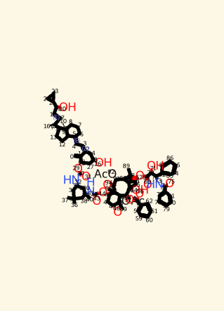 C=C1/C(=C\C=C2/CCC[C@@]3(C)C2CCC3[C@@H](C)/C=C/C(O)C2CC2)C[C@@H](O)C[C@@H]1OC(=O)NC1CC(C)(C)CC(C)(NC(=O)OC2CC3OCC3(OC(C)=O)C3C(OC(=O)c4ccccc4)C4(O)CC(OC(=O)C(O)C(NC(=O)c5ccccc5)c5ccccc5)C(C)=C(C(OC(C)=O)C(=O)C23C)C4(C)C)C1